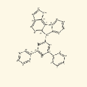 c1ccc(-c2cc(-n3c4ccccc4c4c5occc5ccc43)nc(-c3ccccc3)n2)cc1